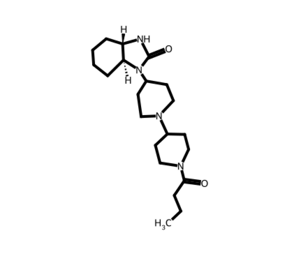 CCCC(=O)N1CCC(N2CCC(N3C(=O)N[C@H]4CCCC[C@@H]43)CC2)CC1